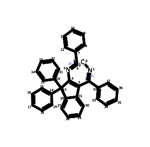 C/N=C(C1=C(/N=C/c2ccccc2)C(c2ccccc2)(c2ccccc2)c2ccccc21)/c1ccccc1